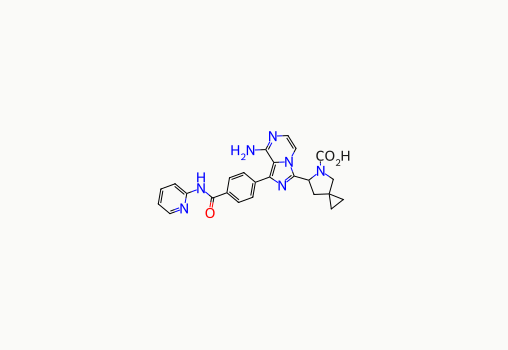 Nc1nccn2c(C3CC4(CC4)CN3C(=O)O)nc(-c3ccc(C(=O)Nc4ccccn4)cc3)c12